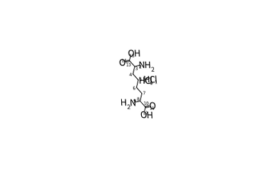 Cl.Cl.NC(CCCCC(N)C(=O)O)C(=O)O